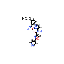 NC(=O)c1cc(C(=O)O)ccc1-n1ccc(NC(=O)c2coc(-c3ccncc3)n2)n1